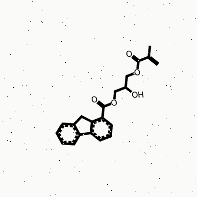 C=C(C)C(=O)OCC(O)COC(=O)c1cccc2c1Cc1ccccc1-2